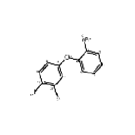 CCCc1ccccc1Oc1ccc(I)c(C)c1